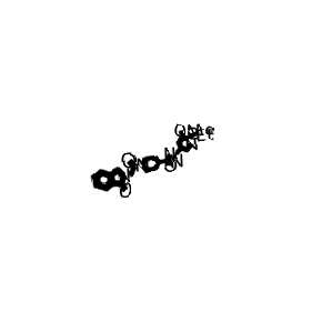 CCOc1ncc(-c2noc(C3CCN(C(=O)CN4Cc5ccccc5C4=O)CC3)n2)cc1OC